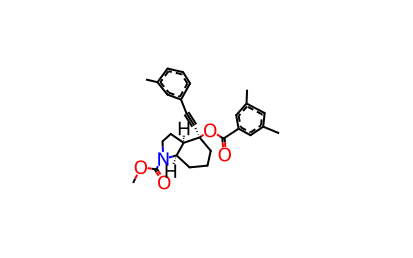 COC(=O)N1CC[C@@H]2[C@H]1CCC[C@]2(C#Cc1cccc(C)c1)OC(=O)c1cc(C)cc(C)c1